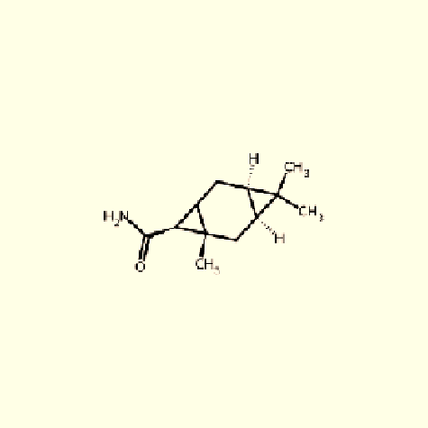 CC1(C)[C@@H]2CC3[C@H](C(N)=O)[C@@]3(C)C[C@@H]21